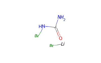 NC(=O)NBr.[Li][Br]